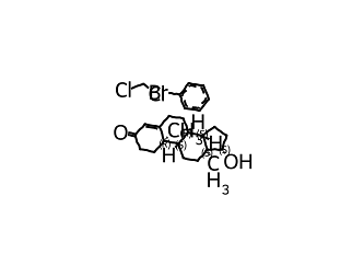 Brc1ccccc1.C[C@]12CC[C@H]3[C@@H](CCC4=CC(=O)CC[C@@]43C)[C@@H]1CC[C@@H]2O.ClCCl